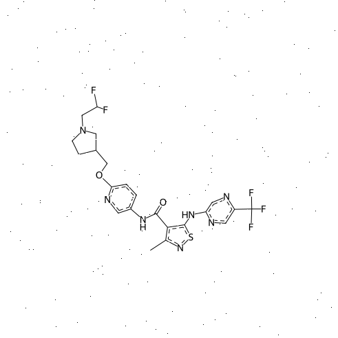 Cc1nsc(Nc2cnc(C(F)(F)F)cn2)c1C(=O)Nc1ccc(OCC2CCN(CC(F)F)C2)nc1